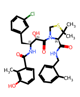 Cc1ccccc1CNC(=O)[C@H]1N(C(=O)[C@@H](O)[C@H](Cc2cccc(Cl)c2)NC(=O)c2cccc(O)c2C)CSC1(C)C